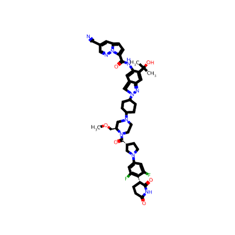 COC[C@H]1CN(C2CCC(n3cc4cc(NC(=O)c5ccc6cc(C#N)cnn56)c(C(C)(C)O)cc4n3)CC2)CCN1C(=O)[C@@H]1CCN(c2cc(F)c([C@H]3CCC(=O)NC3=O)c(F)c2)C1